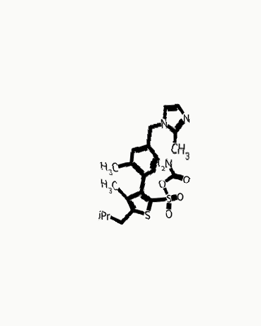 Cc1cc(Cn2ccnc2C)ccc1-c1c(S(=O)(=O)OC(N)=O)sc(CC(C)C)c1C